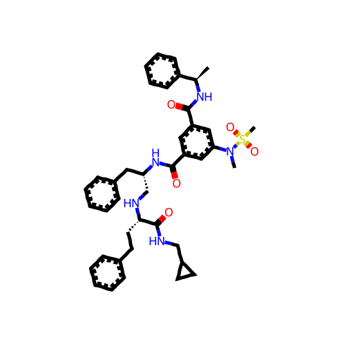 C[C@@H](NC(=O)c1cc(C(=O)N[C@H](CN[C@@H](CCc2ccccc2)C(=O)NCC2CC2)Cc2ccccc2)cc(N(C)S(C)(=O)=O)c1)c1ccccc1